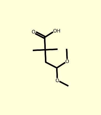 COC(CC(C)(C)C(=O)O)OC